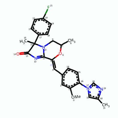 COc1cc(/C=C2\OC(C)CN3C2=NC(=O)C3(C)c2ccc(F)cc2)ccc1-n1cnc(C)c1